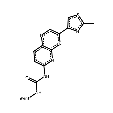 CCCCCNC(=O)Nc1ccc2ncc(-c3csc(C)n3)nc2n1